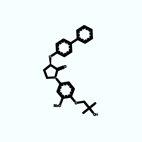 COc1cc(N2CC[C@@H](Oc3ccc(-c4ccccc4)cc3)C2=O)ccc1OCC(C)(C)O